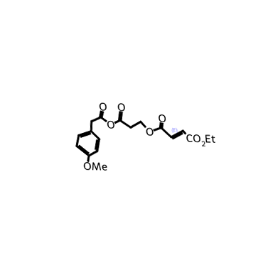 CCOC(=O)/C=C/C(=O)OCCC(=O)OC(=O)Cc1ccc(OC)cc1